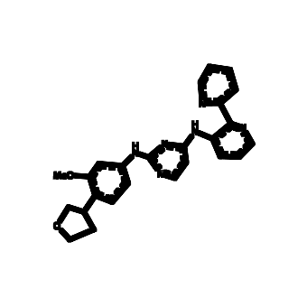 COc1cc(Nc2nccc(Nc3cccnc3-c3ccccn3)n2)ccc1C1CCOC1